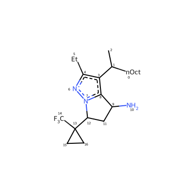 CCCCCCCCC(C)c1c(CC)nn2c1C(N)CC2C1(C(F)(F)F)CC1